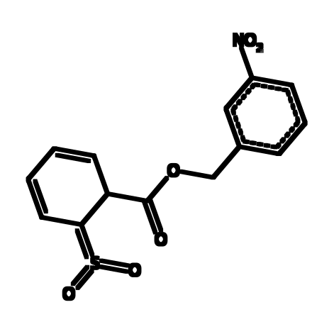 O=C(OCc1cccc([N+](=O)[O-])c1)C1C=CC=CC1=S(=O)=O